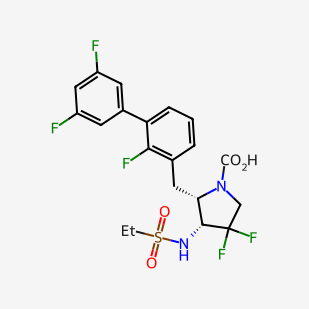 CCS(=O)(=O)N[C@@H]1[C@H](Cc2cccc(-c3cc(F)cc(F)c3)c2F)N(C(=O)O)CC1(F)F